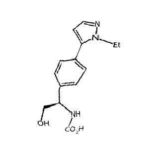 CCn1nccc1-c1ccc([C@H](CO)NC(=O)O)cc1